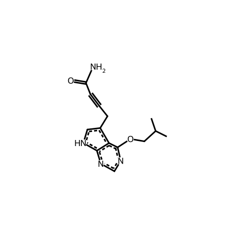 CC(C)COc1ncnc2[nH]cc(CC#CC(N)=O)c12